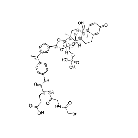 C[C@H](c1ccc(NC(=O)[C@H](CCC(=O)O)NC(=O)CNC(=O)CBr)cc1)n1ccc([C@@H]2O[C@@H]3C[C@H]4[C@@H]5CCC6=CC(=O)C=C[C@]6(C)[C@H]5[C@@H](O)C[C@]4(C)[C@]3(C(=O)COP(=O)(O)O)O2)c1